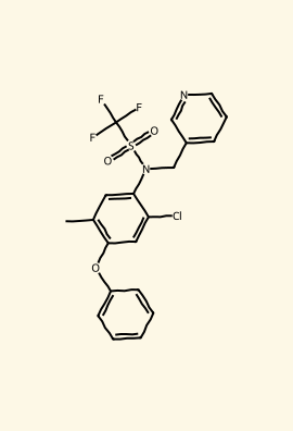 Cc1cc(N(Cc2cccnc2)S(=O)(=O)C(F)(F)F)c(Cl)cc1Oc1ccccc1